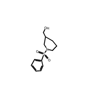 O=S(=O)(c1ccccc1)N1CCCC(CO)C1